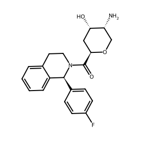 N[C@@H]1CO[C@@H](C(=O)N2CCc3ccccc3[C@@H]2c2ccc(F)cc2)C[C@@H]1O